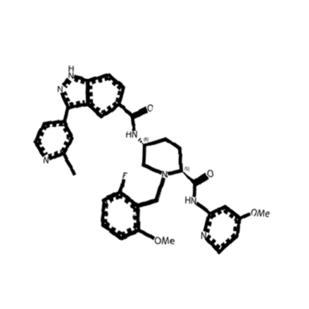 COc1ccnc(NC(=O)[C@@H]2CC[C@@H](NC(=O)c3ccc4[nH]nc(-c5ccnc(C)c5)c4c3)CN2Cc2c(F)cccc2OC)c1